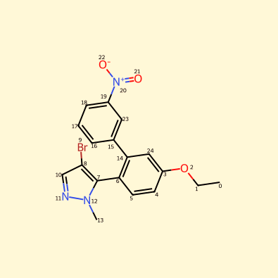 CCOc1ccc(-c2c(Br)cnn2C)c(-c2cccc([N+](=O)[O-])c2)c1